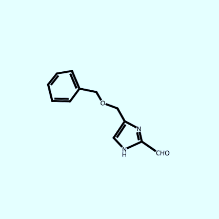 O=Cc1nc(COCc2ccccc2)c[nH]1